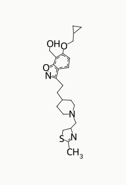 CC1=NC(CN2CCC(CCc3noc4c(CO)c(OCC5CC5)ccc34)CC2)CS1